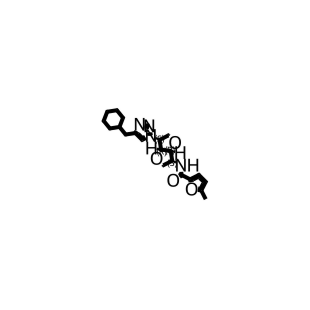 Cc1ccc(C(=O)N[C@H]2CO[C@H]3[C@@H]2OC[C@@H]3n2cc(CC3CCCCC3)nn2)o1